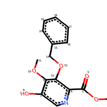 COC(=O)c1ncc(O)c(OC)c1OCc1ccccc1